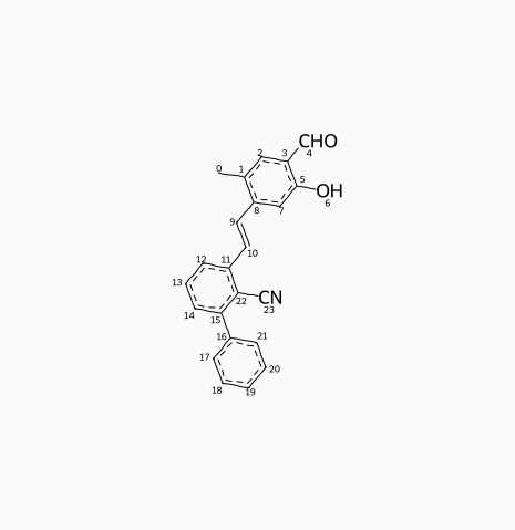 Cc1cc(C=O)c(O)cc1/C=C/c1cccc(-c2ccccc2)c1C#N